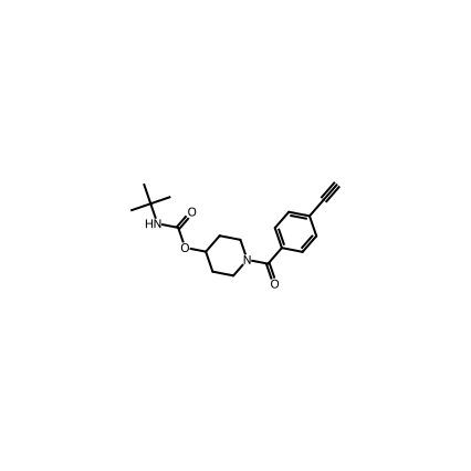 C#Cc1ccc(C(=O)N2CCC(OC(=O)NC(C)(C)C)CC2)cc1